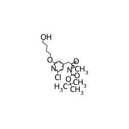 CC(C)(C)OC(=O)N=S(C)(=O)Cc1cc(Cl)nc(OCCCCO)c1